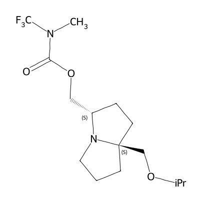 CC(C)OC[C@@]12CCCN1[C@H](COC(=O)N(C)C(F)(F)F)CC2